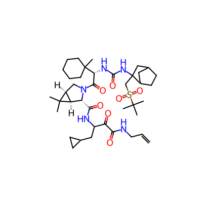 C=CCNC(=O)C(=O)C(CC1CC1)NC(=O)[C@@H]1[C@@H]2[C@H](CN1C(=O)[C@@H](NC(=O)NC1(CS(=O)(=O)C(C)(C)C)CC3CCC1C3)C1(C)CCCCC1)C2(C)C